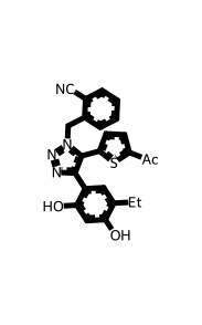 CCc1cc(-c2nnn(Cc3ccccc3C#N)c2-c2ccc(C(C)=O)s2)c(O)cc1O